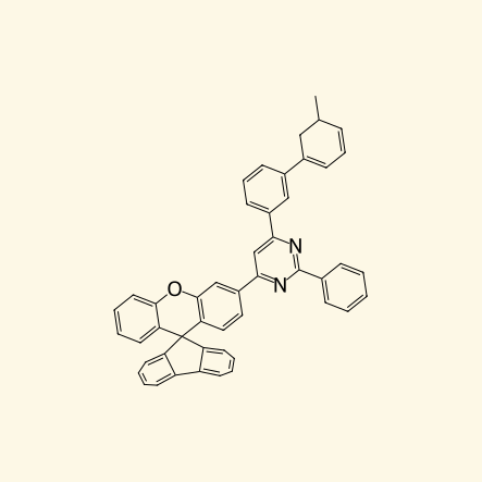 CC1C=CC=C(c2cccc(-c3cc(-c4ccc5c(c4)Oc4ccccc4C54c5ccccc5-c5ccccc54)nc(-c4ccccc4)n3)c2)C1